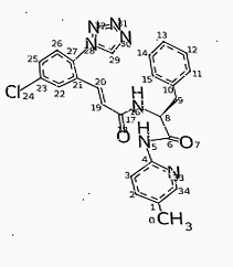 Cc1ccc(NC(=O)[C@H](Cc2ccccc2)NC(=O)/C=C/c2cc(Cl)ccc2-n2cnnn2)nc1